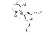 CCCc1cc(N)nc(CCC)n1.NN1CCOC(Cl)C1